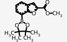 COC(=O)c1cc2cccc(B3OC(C)(C)C(C)(C)O3)c2o1